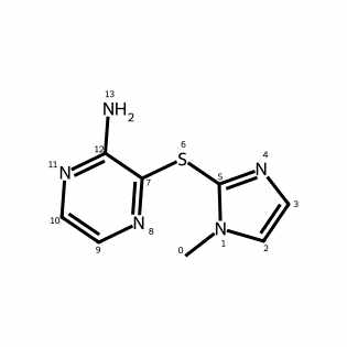 Cn1ccnc1Sc1nccnc1N